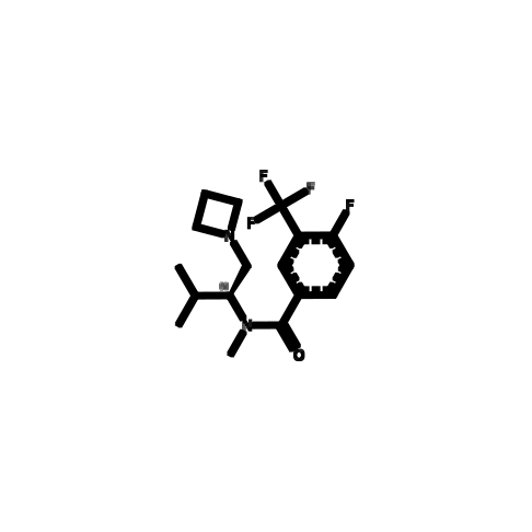 CC(C)[C@@H](CN1CCC1)N(C)C(=O)c1ccc(F)c(C(F)(F)F)c1